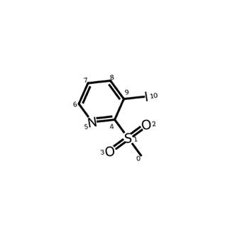 CS(=O)(=O)c1ncccc1I